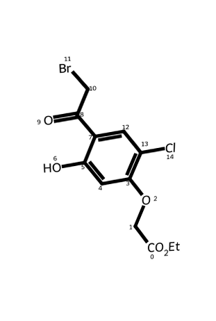 CCOC(=O)COc1cc(O)c(C(=O)CBr)cc1Cl